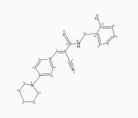 N#C/C(=C\c1ccc(N2CCCCC2)cc1)C(=O)NCc1ccccc1Cl